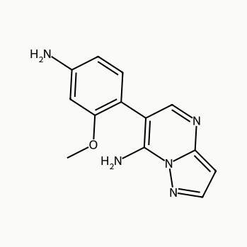 COc1cc(N)ccc1-c1cnc2ccnn2c1N